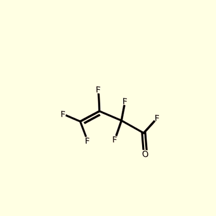 O=C(F)C(F)(F)C(F)=C(F)F